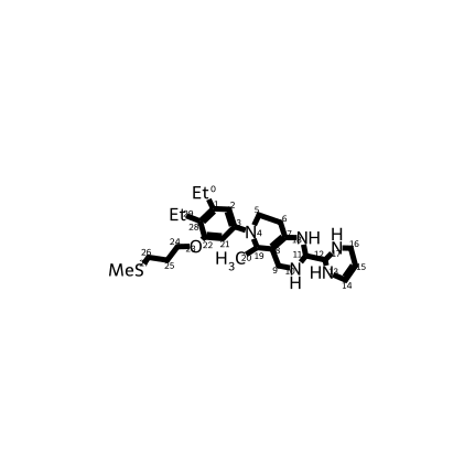 CCc1cc(N2CCC3=C(CNC(C4NC=CCN4)N3)C2C)cc(OCCCSC)c1CC